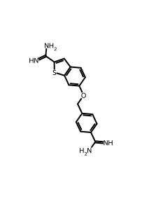 N=C(N)c1ccc(COc2ccc3cc(C(=N)N)sc3c2)cc1